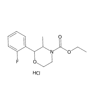 CCOC(=O)N1CCOC(c2ccccc2F)C1C.Cl